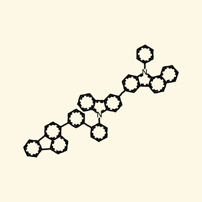 c1ccc(-n2c3ccc(-c4ccc5c(c4)c4ccccc4n5-c4ccccc4-c4cccc(-c5ccc6c7c(cccc57)-c5ccccc5-6)c4)cc3c3ccc4ccccc4c32)cc1